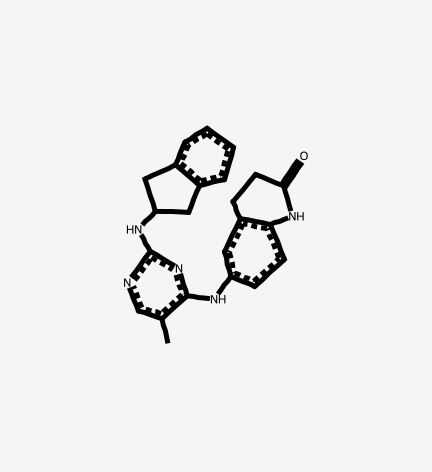 Cc1cnc(NC2Cc3ccccc3C2)nc1Nc1ccc2c(c1)CCC(=O)N2